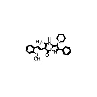 COc1ccccc1/C=C/c1c(C)[nH]c2c(N3CCCCC3)c(-c3ccccc3)nn2c1=O